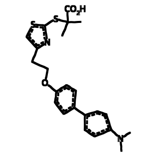 CN(C)c1ccc(-c2ccc(OCCc3csc(SC(C)(C)C(=O)O)n3)cc2)cc1